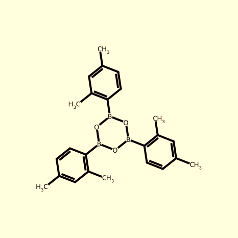 Cc1ccc(B2OB(c3ccc(C)cc3C)OB(c3ccc(C)cc3C)O2)c(C)c1